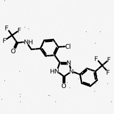 O=C(NCc1ccc(Cl)c(-c2nn(-c3cccc(C(F)(F)F)c3)c(=O)[nH]2)c1)C(F)(F)F